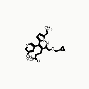 CCc1ccc2c(-c3cncc(C)c3)c(CCC(=O)O)c(COCC3CC3)nn12